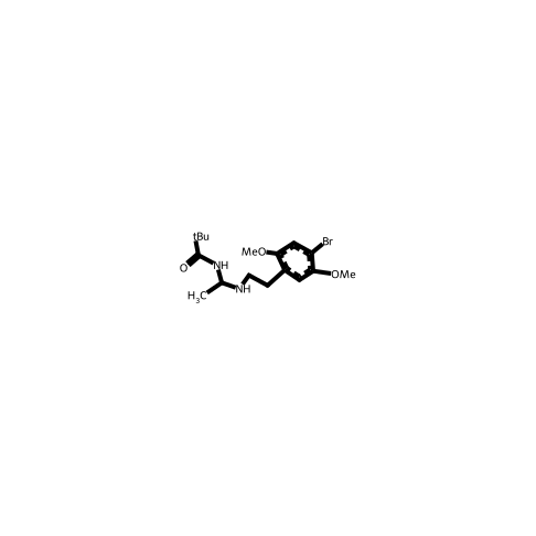 COc1cc(CCNC(C)NC(=O)C(C)(C)C)c(OC)cc1Br